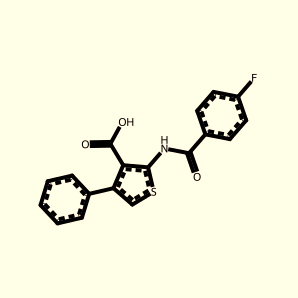 O=C(Nc1scc(-c2ccccc2)c1C(=O)O)c1ccc(F)cc1